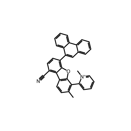 Cc1ccc2c(oc3c(-c4cc5ccccc5c5ccccc45)ccc(C#N)c32)c1-c1cccc[n+]1C